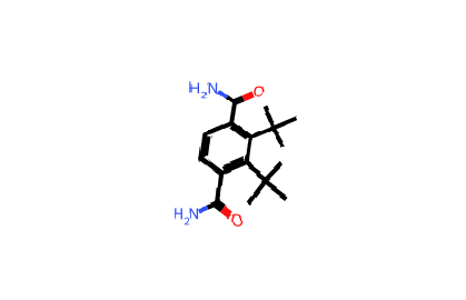 CC(C)(C)c1c(C(N)=O)ccc(C(N)=O)c1C(C)(C)C